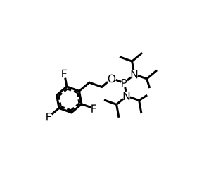 CC(C)N(C(C)C)P(OCCc1c(F)cc(F)cc1F)N(C(C)C)C(C)C